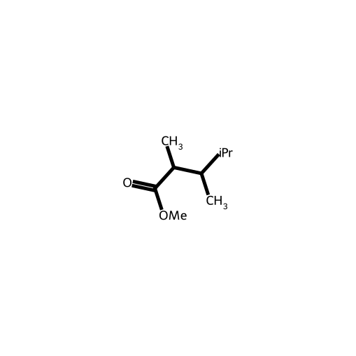 COC(=O)C(C)C(C)C(C)C